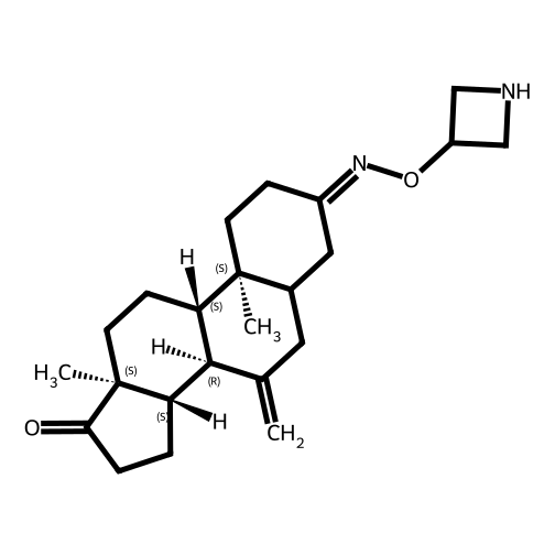 C=C1CC2CC(=NOC3CNC3)CC[C@]2(C)[C@H]2CC[C@]3(C)C(=O)CC[C@H]3[C@H]12